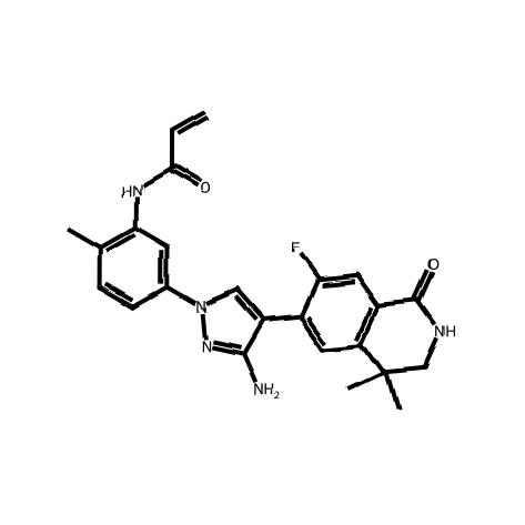 C=CC(=O)Nc1cc(-n2cc(-c3cc4c(cc3F)C(=O)NCC4(C)C)c(N)n2)ccc1C